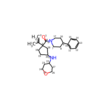 C=C(C)C1(C(=O)N2CCC(c3ccccc3)CC2)CCC(NC2CCOCC2)C1